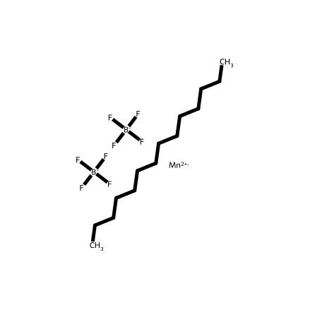 CCCCCCCCCCCCCC.F[B-](F)(F)F.F[B-](F)(F)F.[Mn+2]